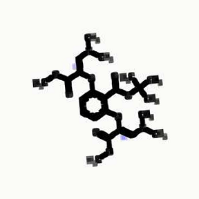 COC(=O)/C(=C/N(C)C)Oc1cccc(O/C(=C\N(C)C)C(=O)OC)c1C(=O)OC(C)(C)C